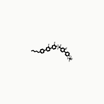 CCCCCc1ccc(-c2ccc(-c3ccc(OC(F)(F)c4ccc(-c5ccc(OC(F)(F)F)cc5)c(F)c4)c(F)c3)c(F)c2)cc1